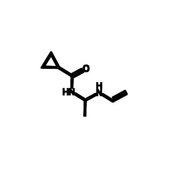 C=CNC(C)NC(=O)C1CC1